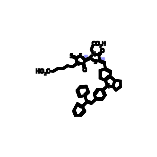 O=C(O)CCCCCN1C(=O)/C(=c2\s/c(=C\c3ccc4c(c3)C3CCCC3N4c3ccc(C=C(c4ccccc4)c4ccccc4)cc3)c(=O)n2CC(=O)O)SC1=S